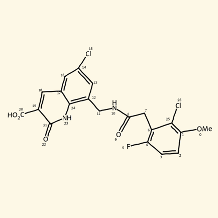 COc1ccc(F)c(CC(=O)NCc2cc(Cl)cc3cc(C(=O)O)c(=O)[nH]c23)c1Cl